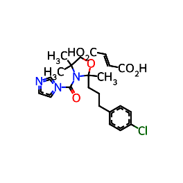 CC1(C)COC(C)(CCCc2ccc(Cl)cc2)N1C(=O)n1ccnc1.O=C(O)/C=C/C(=O)O